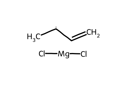 C=C[CH]C.[Cl][Mg][Cl]